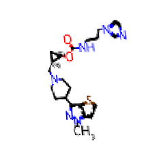 Cn1nc(C2CCN(C[C@H]3C[C@H]3OC(=O)NCCCn3ccnc3)CC2)c2sccc21